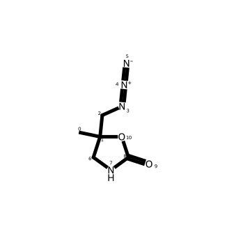 CC1(CN=[N+]=[N-])CNC(=O)O1